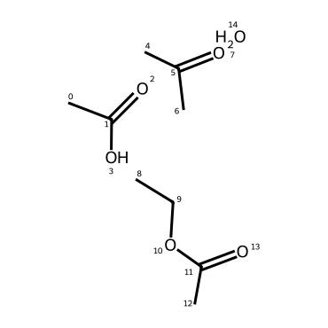 CC(=O)O.CC(C)=O.CCOC(C)=O.O